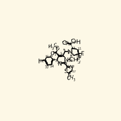 COC(=O)C1=C(CN2CC(F)(F)C[C@H]2C(=O)O)N(C)C(c2ncc(C)s2)=N[C@H]1c1ccc(F)cc1